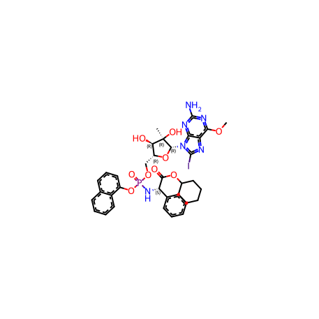 COc1nc(N)nc2c1nc(I)n2[C@@H]1O[C@H](COP(=O)(N[C@H](C(=O)OC2CCCCC2)c2ccccc2)Oc2cccc3ccccc23)[C@@H](O)[C@@]1(C)O